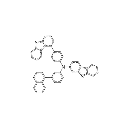 c1cc(-c2cccc3ccccc23)cc(N(c2ccc(-c3cccc4sc5ccccc5c34)cc2)c2ccc3c(c2)sc2ccccc23)c1